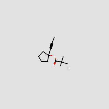 CC#CC1(OC(=O)C(C)(C)C(=O)O)CCCC1